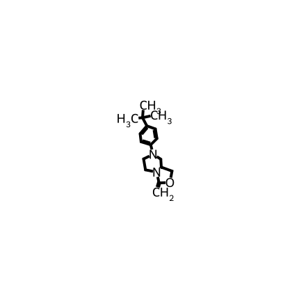 C=C1OCC2CN(c3ccc(C(C)(C)C)cc3)CCN12